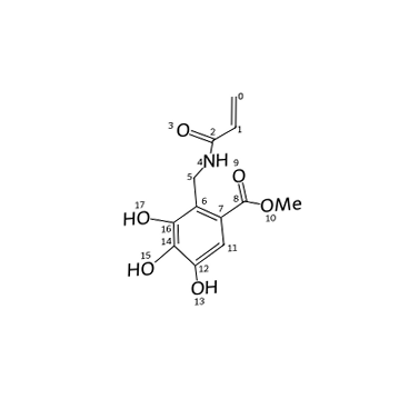 C=CC(=O)NCc1c(C(=O)OC)cc(O)c(O)c1O